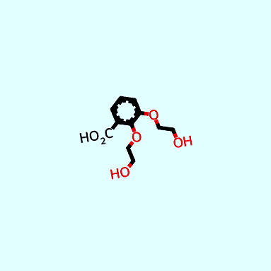 O=C(O)c1cccc(OCCO)c1OCCO